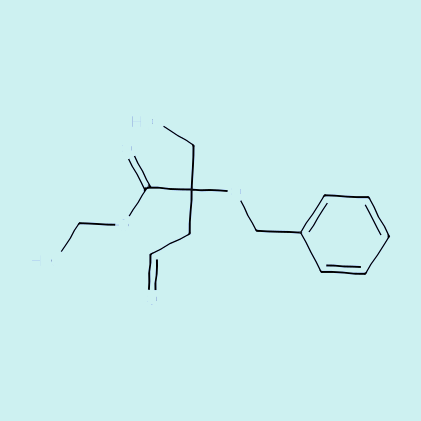 CCOC(=O)C(CC)(CC=O)OCc1ccccc1